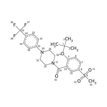 CC(C)(C)Oc1ccc(S(C)(=O)=O)cc1C(=O)N1CCN(c2ccc(C(F)(F)F)cc2)CC1